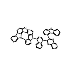 c1ccc2nc(-c3cccc4sc5ccccc5c34)c(-c3ccc(-n4c5ccc6oc7ccc8c9ccccc9n9c%10cccc4c%10c5c6c7c89)c4ccccc34)nc2c1